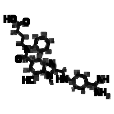 Cl.Cn1c(CNc2ccc(C(=N)N)cc2)nc2cc(C(=O)N(CCCC(=O)O)c3ccccc3)ccc21